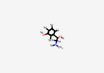 [2H]Oc1c([2H])c([2H])c([2H])c([C@@H](O[2H])C([2H])([2H])N([2H])C)c1[2H]